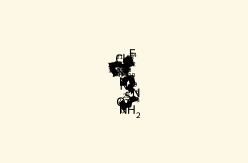 NC(=O)Cc1cnc(-c2ccc(NCC3(c4ncccc4Cl)CC(F)C3)nn2)s1